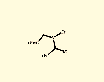 CCCCCCN(CC)C(CC)CCC